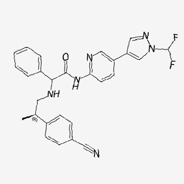 C[C@@H](CNC(C(=O)Nc1ccc(-c2cnn(C(F)F)c2)cn1)c1ccccc1)c1ccc(C#N)cc1